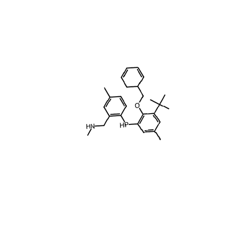 CNCc1cc(C)ccc1Pc1cc(C)cc(C(C)(C)C)c1OCC1C=CC=CC1